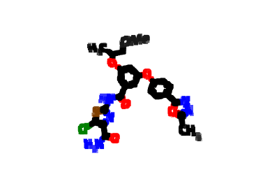 COCC(C)Oc1cc(Oc2ccc(-c3nnc(C)o3)cc2)cc(C(=O)Nc2nc(C(N)=O)c(Cl)s2)c1